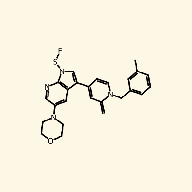 C=C1C=C(c2cn(SF)c3ncc(N4CCOCC4)cc23)C=CN1Cc1cccc(C)c1